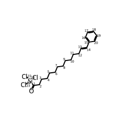 O=C(CCCCCCCCCCC/C=C/c1ccccc1)[Si](Cl)(Cl)Cl